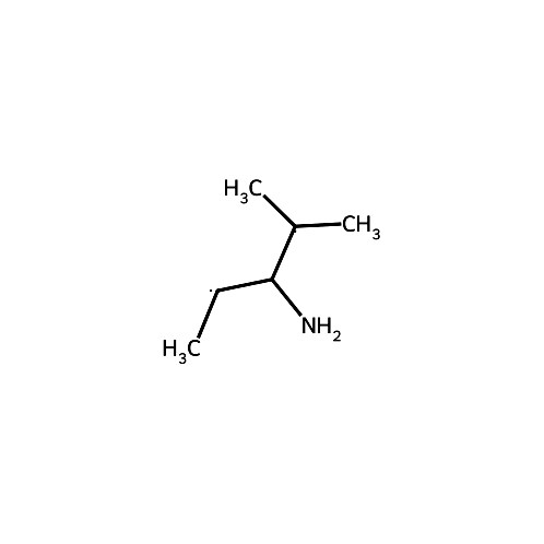 C[CH]C(N)[C](C)C